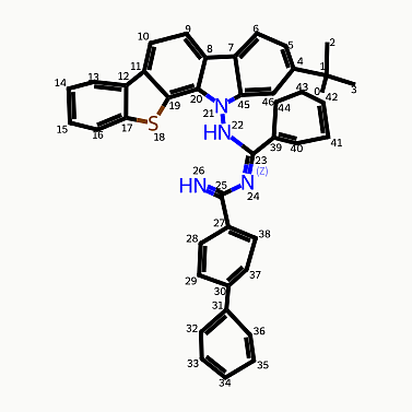 CC(C)(C)c1ccc2c3ccc4c5ccccc5sc4c3n(N/C(=N\C(=N)c3ccc(-c4ccccc4)cc3)C3=CC=CCC3)c2c1